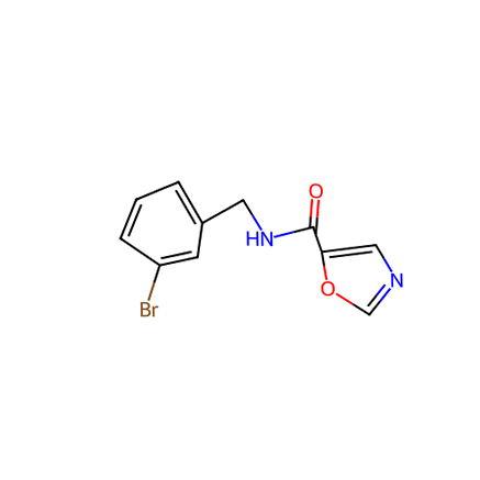 O=C(NCc1cccc(Br)c1)c1cnco1